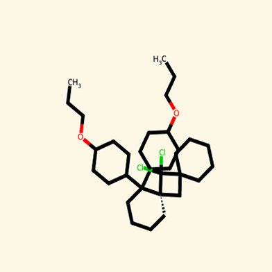 CCCOC1CCC(C2(C3CCC(OCCC)CC3)CCCC[C@]23CC2(CCCCC2)C3(Cl)Cl)CC1